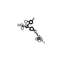 CS(=O)(=O)OCCCOc1ccc(-c2cc(C(=O)O)sc2-c2ccc(F)cc2Cl)cc1